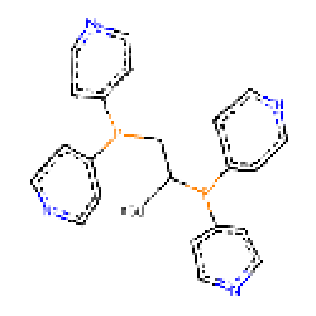 CCCCC(CP(c1ccncc1)c1ccncc1)P(c1ccncc1)c1ccncc1